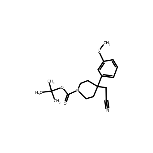 CSc1cccc(C2(CC#N)CCN(C(=O)OC(C)(C)C)CC2)c1